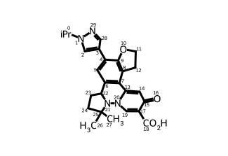 CC(C)n1cc(-c2cc3c(c4c2OCC4)-c2cc(=O)c(C(=O)O)cn2N2C3CCC2(C)C)cn1